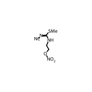 CSC(=NC#N)NCCO[N+](=O)[O-]